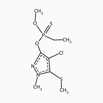 CCP(=S)(OC)Oc1nn(C)c(SC)c1Cl